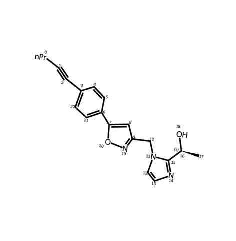 CCCC#Cc1ccc(-c2cc(Cn3ccnc3[C@H](C)O)no2)cc1